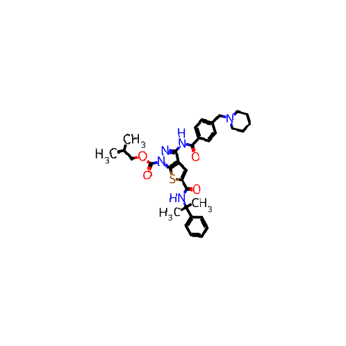 CC(C)COC(=O)n1nc(NC(=O)c2ccc(CN3CCCCC3)cc2)c2cc(C(=O)NC(C)(C)c3ccccc3)sc21